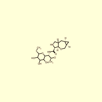 CSC1OC([C@H](NC(=O)[C@H]2NC[C@@H]3C[C@H]4C[C@H]4CO[C@H]32)[C@H](C)Cl)C(O)C(O)C1O